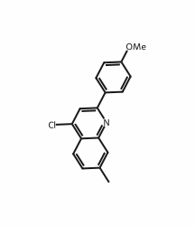 COc1ccc(-c2cc(Cl)c3ccc(C)cc3n2)cc1